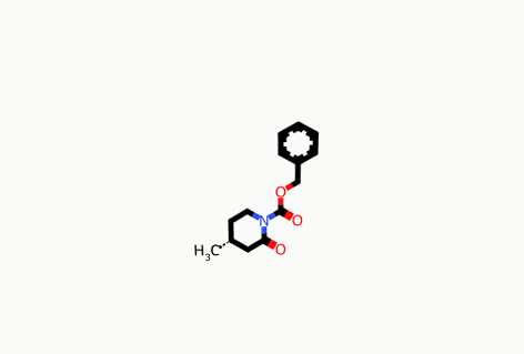 C[C@@H]1CCN(C(=O)OCc2ccccc2)C(=O)C1